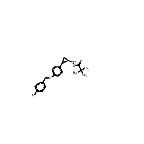 CC(C)(C)C(=O)ONC1CC1c1ccc(OCc2ccc(Br)cc2)cc1